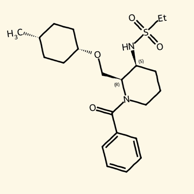 CCS(=O)(=O)N[C@H]1CCCN(C(=O)c2ccccc2)[C@H]1CO[C@H]1CC[C@@H](C)CC1